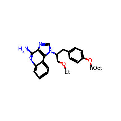 CCCCCCCCOc1ccc(CC(COCC)n2cnc3c(N)nc4ccccc4c32)cc1